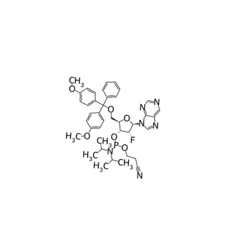 COc1ccc(C(OC[C@H]2O[C@@H](n3cnc4cncnc43)[C@H](F)[C@@H]2OP(OCCC#N)N(C(C)C)C(C)C)(c2ccccc2)c2ccc(OC)cc2)cc1